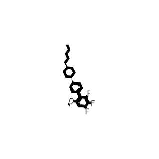 CCCCC[C@H]1CC[C@H](c2ccc(-c3c(OC)cc(F)c(F)c3F)cc2)CC1